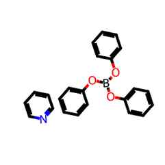 c1ccc(OB(Oc2ccccc2)Oc2ccccc2)cc1.c1ccncc1